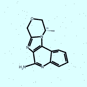 C[C@H]1COCc2nc3c(N)nc4ccccc4c3n21